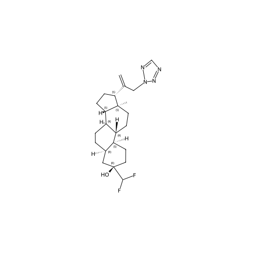 C=C(Cn1ncnn1)[C@H]1CC[C@H]2[C@@H]3CC[C@@H]4C[C@@](O)(C(F)F)CC[C@@H]4[C@H]3CC[C@]12C